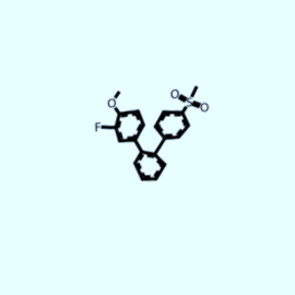 COc1ccc(-c2ccccc2-c2ccc(S(C)(=O)=O)cc2)cc1F